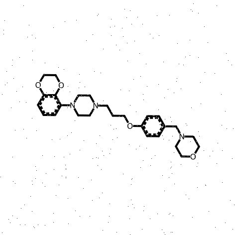 c1cc2c(c(N3CCN(CCCOc4ccc(CN5CCOCC5)cc4)CC3)c1)OCCO2